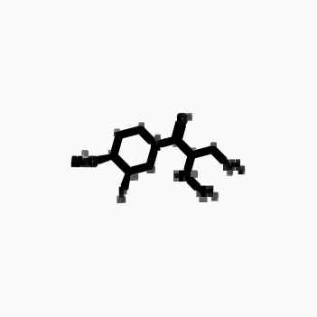 CO[C@H]1CCN(C(=O)C(CN)NN)C[C@H]1F